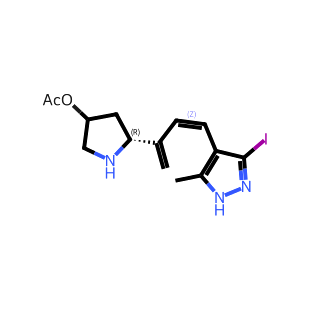 C=C(/C=C\c1c(I)n[nH]c1C)[C@H]1CC(OC(C)=O)CN1